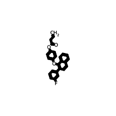 C=CCC(=O)Oc1ccc(Oc2c(-c3cccc(F)c3)ccc3ccccc23)cc1